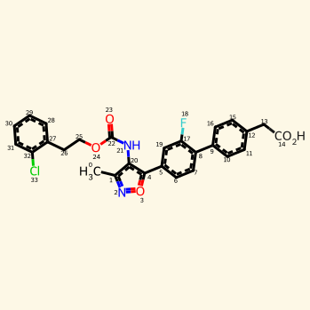 Cc1noc(-c2ccc(-c3ccc(CC(=O)O)cc3)c(F)c2)c1NC(=O)OCCc1ccccc1Cl